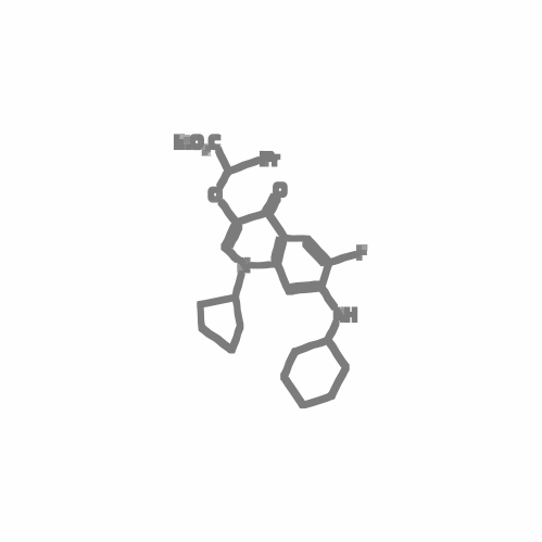 CCOC(=O)C(Oc1cn(C2CCCC2)c2cc(NC3CCCCC3)c(F)cc2c1=O)C(C)C